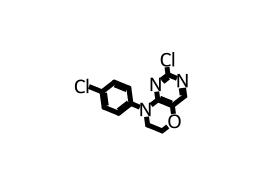 Clc1ccc(N2CCOc3cnc(Cl)nc32)cc1